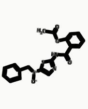 CC(=O)Oc1ccccc1C(=O)Nc1ncc([S+]([O-])Cc2ccccc2)s1